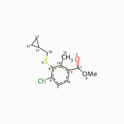 COC(=O)c1ccc(Cl)c(SCC2CC2)c1C